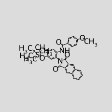 COc1ccc(C(=O)Nc2ccc(O[Si](C)(C)C(C)(C)C)cc2N2C(=O)c3cc4ccccc4cc3C2=O)cc1